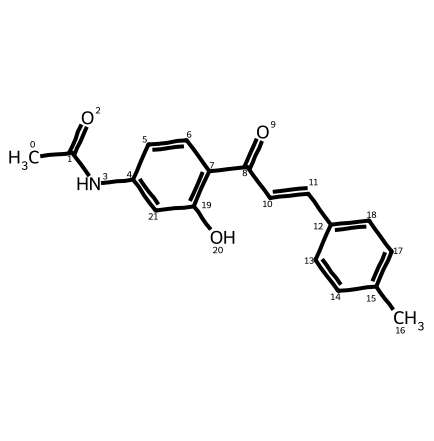 CC(=O)Nc1ccc(C(=O)C=Cc2ccc(C)cc2)c(O)c1